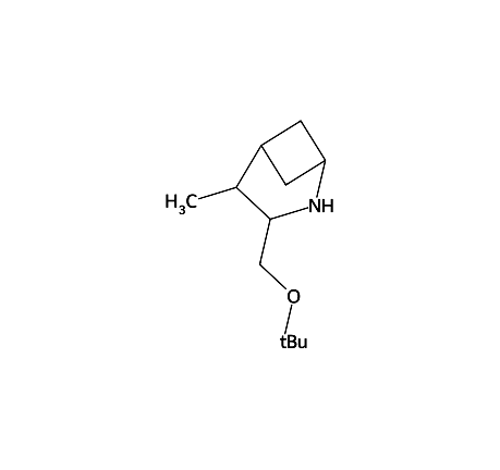 CC1C2CC(C2)NC1COC(C)(C)C